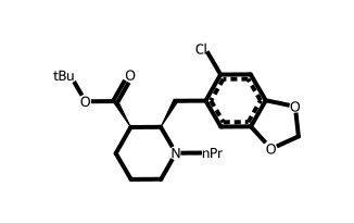 CCCN1CCC[C@@H](C(=O)OC(C)(C)C)[C@H]1Cc1cc2c(cc1Cl)OCO2